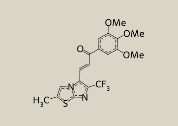 COc1cc(C(=O)/C=C/c2c(C(F)(F)F)nc3sc(C)cn23)cc(OC)c1OC